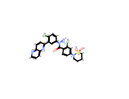 NN(C(=O)c1ccc(N2CCCCS2(=O)=O)cc1Cl)c1ccc(Cl)c(-c2ccc3ncccc3n2)c1